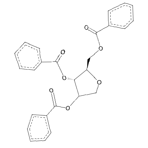 O=C(OC[C@H]1OCC(OC(=O)c2ccccc2)[C@@H]1OC(=O)c1ccccc1)c1ccccc1